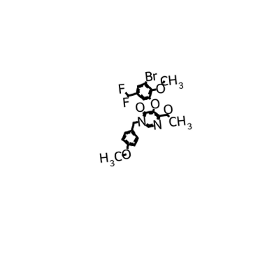 COc1ccc(Cn2cnc(C(C)=O)c(Oc3cc(C(F)F)cc(Br)c3OC)c2=O)cc1